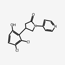 O=C1CC(c2c(O)ccc(Cl)c2Cl)CN1c1ccncc1